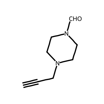 C#CCN1CCN(C=O)CC1